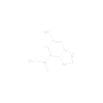 COC(=O)c1nc(C=O)cn2ccnc12